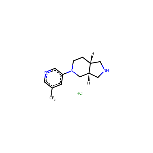 Cl.FC(F)(F)c1cncc(N2CC[C@@H]3CNC[C@@H]3C2)c1